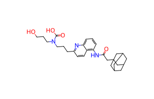 O=C(CC12CC3CC(CC(C3)C1)C2)Nc1cccc2nc(CCCN(CCCO)C(=O)O)ccc12